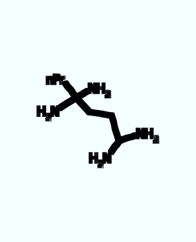 CCCC(N)(N)CCC(N)N